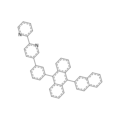 c1ccc(-c2ccc(-c3cccc(-c4c5ccccc5c(-c5ccc6ccccc6c5)c5ccccc45)c3)cn2)nc1